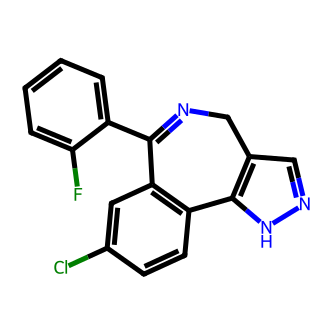 Fc1ccccc1C1=NCc2cn[nH]c2-c2ccc(Cl)cc21